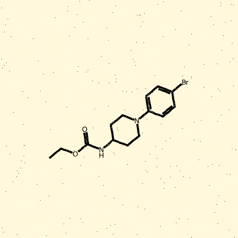 CCOC(=O)NC1CCN(c2ccc(Br)cc2)CC1